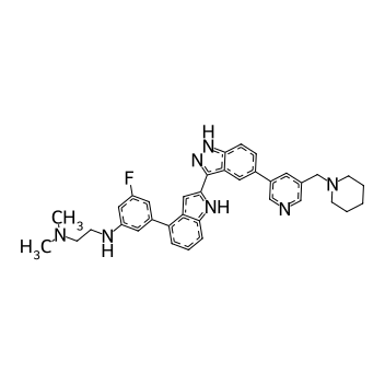 CN(C)CCNc1cc(F)cc(-c2cccc3[nH]c(-c4n[nH]c5ccc(-c6cncc(CN7CCCCC7)c6)cc45)cc23)c1